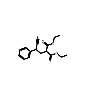 CCOC(=O)C(CC(C#N)c1ccccc1)C(=O)OCC